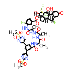 C[C@H](NC(=O)c1cc(-c2cnc(S(C)(=O)=O)nc2)cc(-c2cnc(S(C)(=O)=O)nc2)c1)C(=O)N[C@@H](C)C(=O)N[C@@H](C)C(=O)Nc1cc(C(=O)O[C@]2(C(=O)SCF)CC[C@H]3[C@@H]4C[C@H](F)C5=CC(=O)C=C[C@]5(C)[C@@]4(F)[C@@H](O)C[C@@]32C)ccc1F